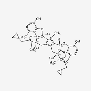 Cc1ccc(O)c2c1[C@]13CCN(CC4CC4)C(C)[C@]1(O)Cc1c4c(n(C)c1[C@@H]3O2)[C@@H]1Oc2c(O)ccc(C)c2[C@@]12CCN(CC1CC1)[C@H](C)[C@]2(O)C4